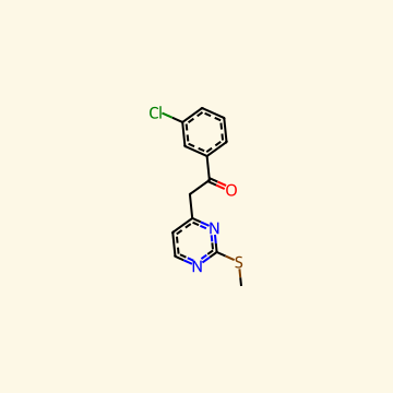 CSc1nccc(CC(=O)c2cccc(Cl)c2)n1